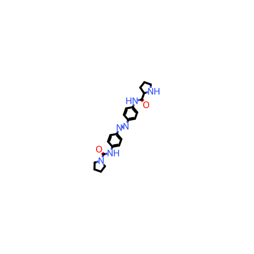 O=C(Nc1ccc(N=Nc2ccc(NC(=O)N3CCCC3)cc2)cc1)C1CCCN1